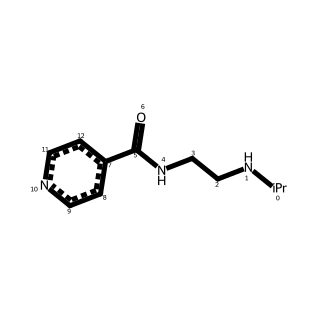 CC(C)NCCNC(=O)c1ccncc1